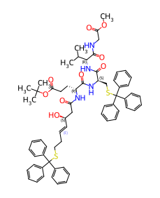 COC(=O)CNC(=O)[C@H](NC(=O)[C@@H](CSC(c1ccccc1)(c1ccccc1)c1ccccc1)NC(=O)[C@@H](CCC(=O)OC(C)(C)C)NC(=O)C[C@H](O)/C=C/CCSC(c1ccccc1)(c1ccccc1)c1ccccc1)C(C)C